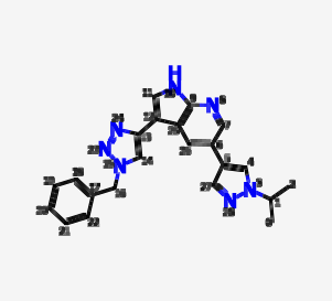 CC(C)n1cc(-c2cnc3[nH]cc(-c4cn(Cc5ccccc5)nn4)c3c2)cn1